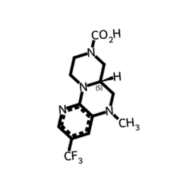 CN1C[C@H]2CN(C(=O)O)CCN2c2ncc(C(F)(F)F)cc21